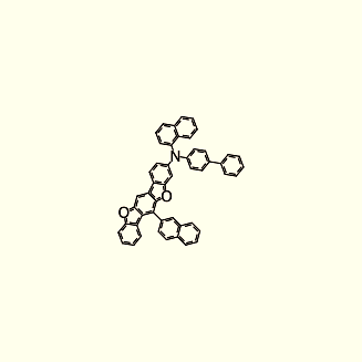 c1ccc(-c2ccc(N(c3ccc4c(c3)oc3c(-c5ccc6ccccc6c5)c5c(cc34)oc3ccccc35)c3cccc4ccccc34)cc2)cc1